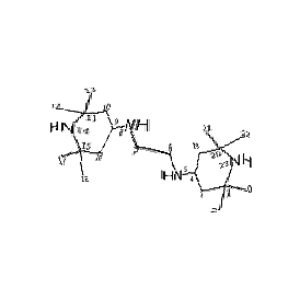 CC1(C)CC(NCCNC2CC(C)(C)NC(C)(C)C2)CC(C)(C)N1